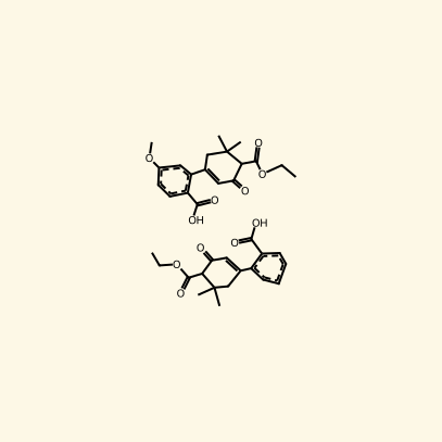 CCOC(=O)C1C(=O)C=C(c2cc(OC)ccc2C(=O)O)CC1(C)C.CCOC(=O)C1C(=O)C=C(c2ccccc2C(=O)O)CC1(C)C